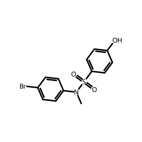 CN(c1ccc(Br)cc1)S(=O)(=O)c1ccc(O)cc1